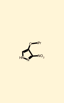 CC(C)Oc1c[nH]nc1[N+](=O)[O-]